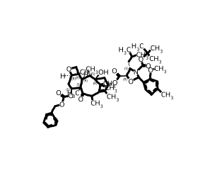 COc1cc(C)ccc1C1O[C@@H](C(=O)O[C@H]2C[C@@]3(O)[C@@H](C)[C@@H]4[C@]5(C)CO[C@@H]5C[C@H](OC(=O)OCc5ccccc5)[C@@]4(C)C(=O)C(C)C(=C2C)C3(C)C)[C@H](CC(C)C)N1C(=O)OC(C)(C)C